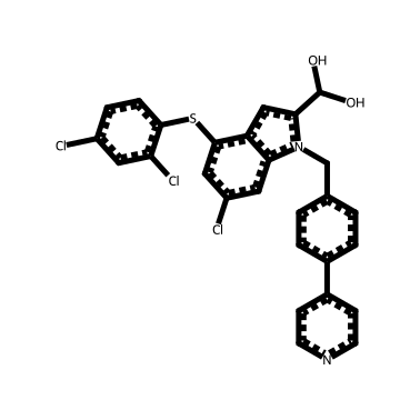 OC(O)c1cc2c(Sc3ccc(Cl)cc3Cl)cc(Cl)cc2n1Cc1ccc(-c2ccncc2)cc1